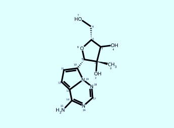 C[C@]1(O)C(O)[C@@H](CO)O[C@H]1c1ccc2c(N)ncnn12